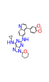 c1cc(-c2ccc3c(c2)OCO3)c2cc(Nc3nc(NC4CC4)c4ncn(C5CCCCO5)c4n3)ccc2n1